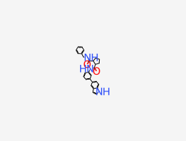 O=C(NCc1ccccc1)C1CCCC1C(=O)Nc1cccc(-c2ccc3[nH]ccc3c2)c1